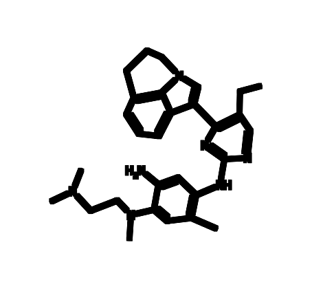 CCc1cnc(Nc2cc(N)c(N(C)CCN(C)C)cc2C)nc1-c1cn2c3c(cccc13)CCC2